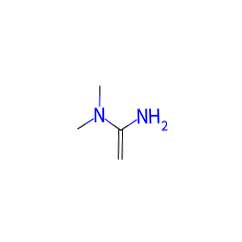 C=C(N)N(C)C